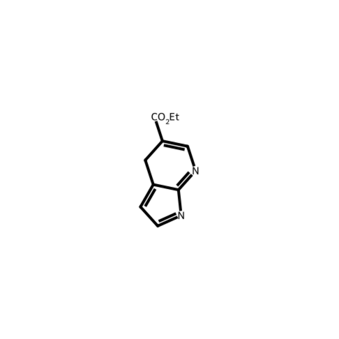 CCOC(=O)C1=CN=C2N=CC=C2C1